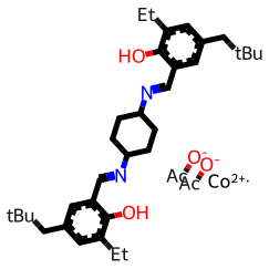 CC(=O)[O-].CC(=O)[O-].CCc1cc(CC(C)(C)C)cc(C=NC2CCC(N=Cc3cc(CC(C)(C)C)cc(CC)c3O)CC2)c1O.[Co+2]